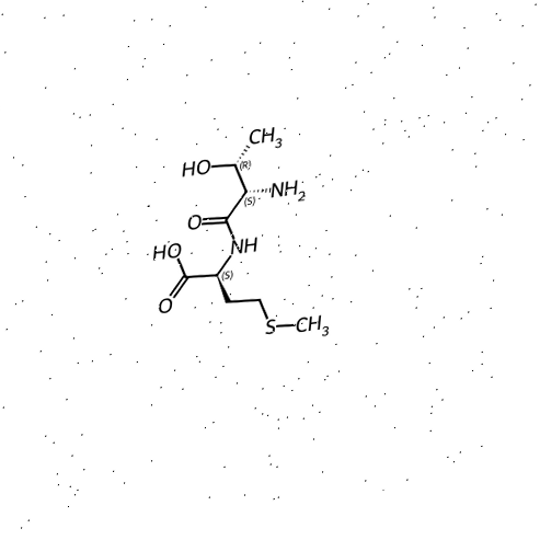 CSCC[C@H](NC(=O)[C@@H](N)[C@@H](C)O)C(=O)O